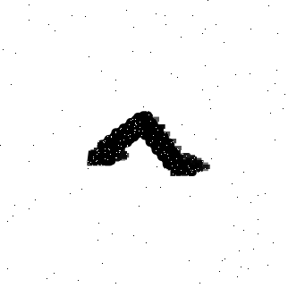 O=P([O-])([O-])[O-].O=P([O-])([O-])[O-].O=P([O-])([O-])[O-].O=P([O-])([O-])[O-].O=P([O-])([O-])[O-].O=P([O-])([O-])[O-].O=P([O-])([O-])[O-].O=P([O-])([O-])[O-].O=P([O-])([O-])[O-].O=P([O-])([O-])[O-].O=P([O-])([O-])[O-].[Al+3].[Al+3].[Al+3].[Mo+6].[Mo+6].[Mo+6].[Zn+2].[Zn+2].[Zn+2]